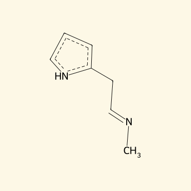 C/N=C/Cc1ccc[nH]1